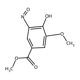 COC(=O)c1cc(N=O)c(O)c(OC)c1